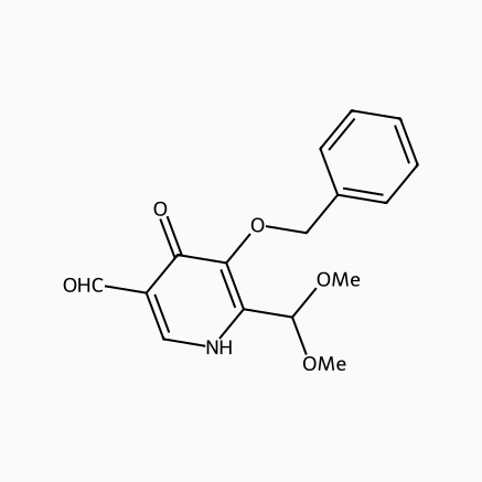 COC(OC)c1[nH]cc(C=O)c(=O)c1OCc1ccccc1